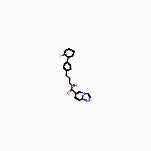 O=C(NCCCc1ccc(-c2ccccc2F)cc1)C1=CN2C=CNC2C=C1